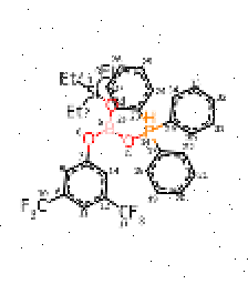 CC[Si](CC)(CC)OB(Oc1cc(C(F)(F)F)cc(C(F)(F)F)c1)O[PH](c1ccccc1)(c1ccccc1)c1ccccc1